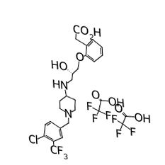 O=C(O)C(F)(F)F.O=C(O)C(F)(F)F.O=C(O)Cc1ccccc1OC[C@@H](O)CNC1CCN(Cc2ccc(Cl)c(C(F)(F)F)c2)CC1